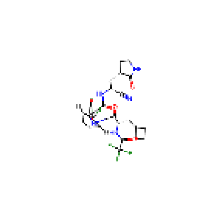 N#C[C@@H](C[C@@H]1CCNC1=O)NC(=O)[C@H]1[C@H]2CC[C@H](CC2(F)F)N1C(=O)[C@H](CC1CCC1)NC(=O)C(F)(F)F